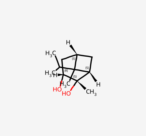 CC(C)C1(C)[C@@H]2C[C@@H](O)[C@@](C)(O)[C@H]1C2